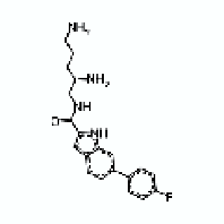 NCCC[C@@H](N)CNC(=O)c1cc2ccc(-c3ccc(F)cc3)cc2[nH]1